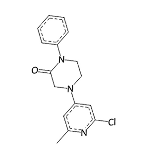 Cc1cc(N2CCN(c3ccccc3)C(=O)C2)cc(Cl)n1